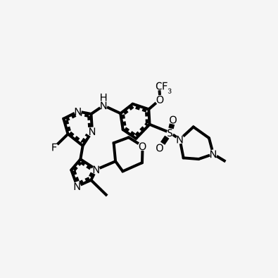 Cc1ncc(-c2nc(Nc3ccc(S(=O)(=O)N4CCN(C)CC4)c(OC(F)(F)F)c3)ncc2F)n1C1CCOCC1